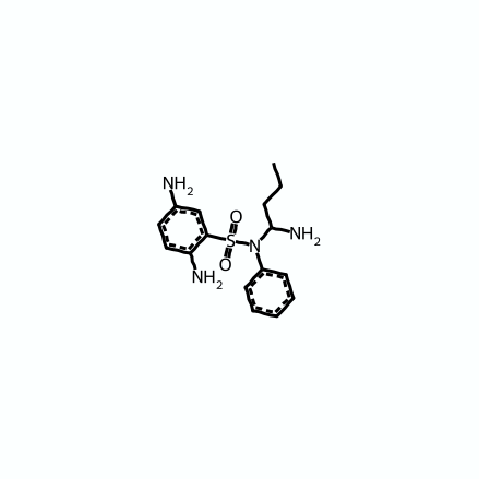 CCCC(N)N(c1ccccc1)S(=O)(=O)c1cc(N)ccc1N